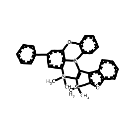 C[Si]1(C)C2=C(B3c4ccccc4Oc4cc(-c5ccccc5)cc1c43)c1c(oc3ccccc13)[Si]2(C)C